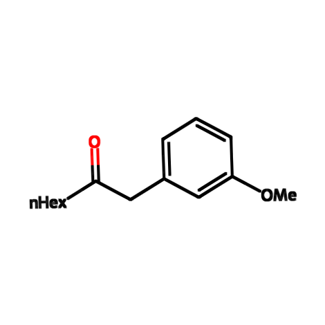 CCCCCCC(=O)Cc1cccc(OC)c1